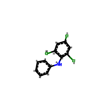 Clc1cc(Cl)c(Nc2cc[c]cc2)c(Cl)c1